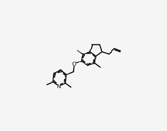 C=CCC1CCc2c(C)c(OCc3ccc(C)nc3C)cc(C)c21